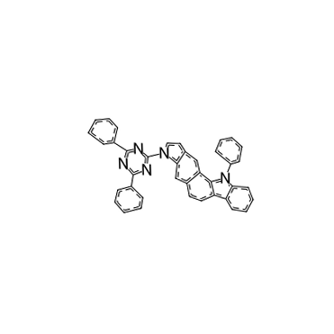 c1ccc(-c2nc(-c3ccccc3)nc(-n3ccc4cc5c(ccc6c7ccccc7n(-c7ccccc7)c56)cc43)n2)cc1